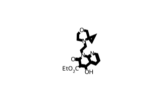 CCOC(=O)c1c(O)c2cccnc2n(CCN2CCOCC23CC3)c1=O